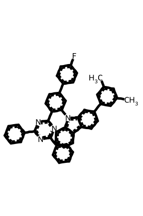 Cc1cc(C)cc(-c2ccc3c4ccccc4n(-c4cc(-c5ccc(F)cc5)ccc4-c4nc(-c5ccccc5)nc(-c5ccccc5)n4)c3c2)c1